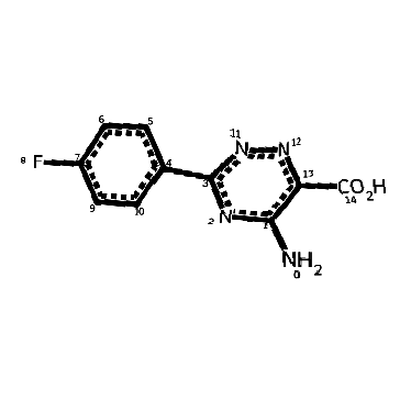 Nc1nc(-c2ccc(F)cc2)nnc1C(=O)O